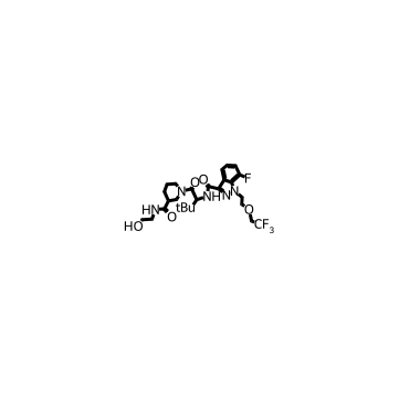 CC(C)(C)C(NC(=O)c1nn(CCOCC(F)(F)F)c2c(F)cccc12)C(=O)N1CCCC(C(=O)NCCO)C1